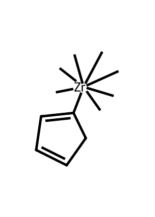 [CH3][Zr]([CH3])([CH3])([CH3])([CH3])([CH3])([CH3])[C]1=CC=CC1